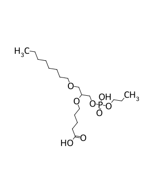 CCCCCCCCOCC(COP(=O)(O)OCCC)OCCCCC(=O)O